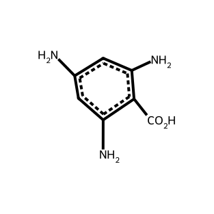 Nc1cc(N)c(C(=O)O)c(N)c1